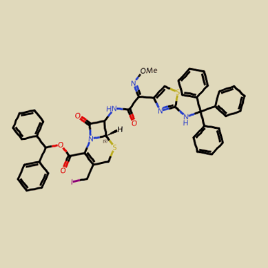 CON=C(C(=O)NC1C(=O)N2C(C(=O)OC(c3ccccc3)c3ccccc3)=C(CI)CS[C@@H]12)c1csc(NC(c2ccccc2)(c2ccccc2)c2ccccc2)n1